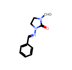 O=[C]N1CCN(/N=C/c2ccccc2)C1=O